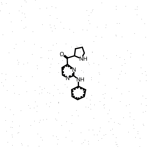 O=C(c1ccnc(Nc2ccccc2)n1)C1CCCN1